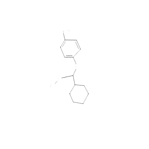 CCCCc1ccc(OC(OC(C)C)C2CCCCC2)cc1